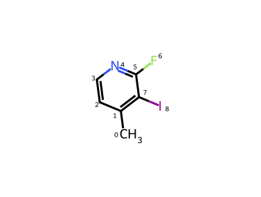 Cc1ccnc(F)c1I